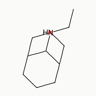 CCNC1C2CCCC1CCC2